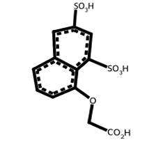 O=C(O)COc1cccc2cc(S(=O)(=O)O)cc(S(=O)(=O)O)c12